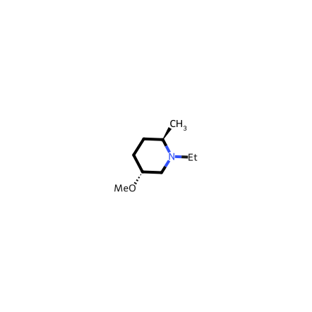 CCN1C[C@H](OC)CC[C@H]1C